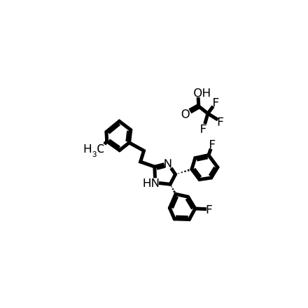 Cc1cccc(CCC2=N[C@H](c3cccc(F)c3)[C@H](c3cccc(F)c3)N2)c1.O=C(O)C(F)(F)F